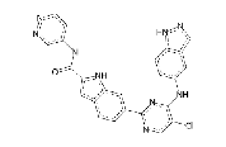 O=C(Nc1ccnnc1)c1cc2ccc(-c3ncc(Cl)c(Nc4ccc5[nH]ncc5c4)n3)cc2[nH]1